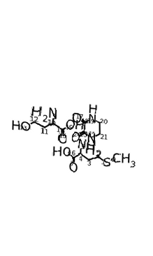 CSCCC(N)C(=O)O.NC(CCO)C(=O)O.O=C1NCCNC1=O